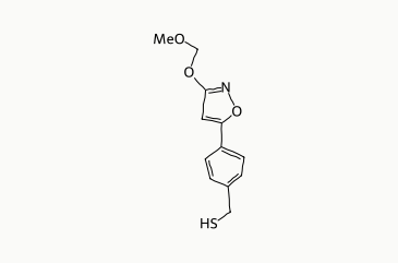 COCOc1cc(-c2ccc(CS)cc2)on1